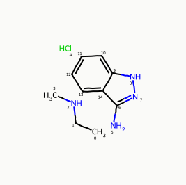 CCNC.Cl.Nc1n[nH]c2ccccc12